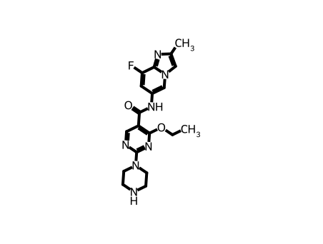 CCOc1nc(N2CCNCC2)ncc1C(=O)Nc1cc(F)c2nc(C)cn2c1